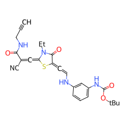 C#CCNC(=O)C(=C=c1sc(=C=CNc2cccc(NC(=O)OC(C)(C)C)c2)c(=O)n1CC)C#N